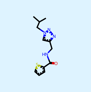 CC(C)Cn1cc(CNC(=O)c2cccs2)nn1